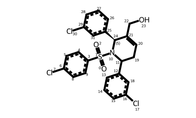 O=S(=O)(c1ccc(Cl)cc1)N1C(c2cccc(Cl)c2)CC=C(CO)[C@@H]1c1cccc(Cl)c1